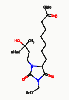 CCCCCCC(C)(O)CCN1C(=O)N(COC(C)=O)C(=O)C1CCCCCCC(=O)OC